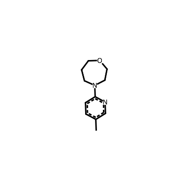 Cc1ccc(N2CCCOCC2)nc1